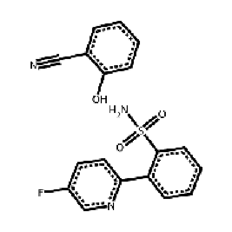 N#Cc1ccccc1O.NS(=O)(=O)c1ccccc1-c1ccc(F)cn1